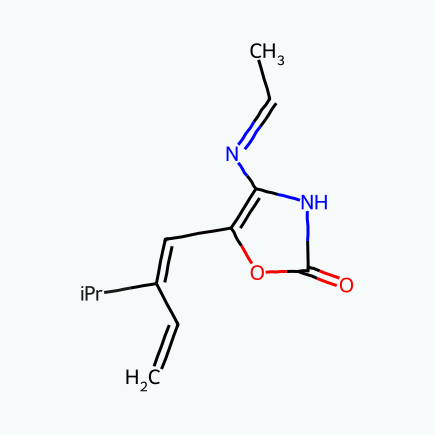 C=C/C(=C\c1oc(=O)[nH]c1/N=C/C)C(C)C